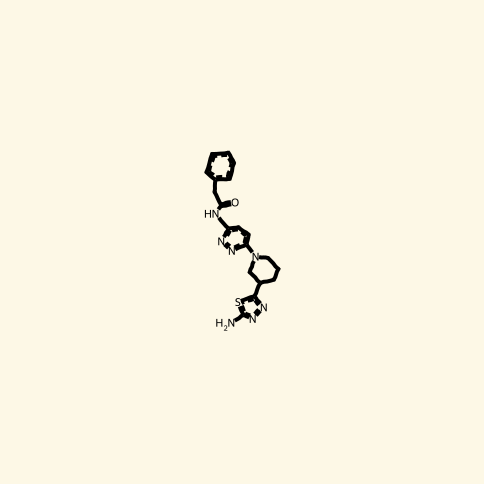 Nc1nnc(C2CCCN(c3ccc(NC(=O)Cc4ccccc4)nn3)C2)s1